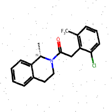 C[C@H]1c2ccccc2CCN1C(=O)Cc1c(Cl)cccc1C(F)(F)F